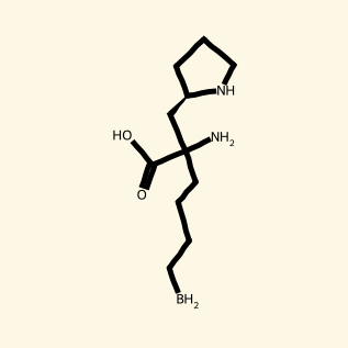 BCCCCC(N)(C[C@H]1CCCN1)C(=O)O